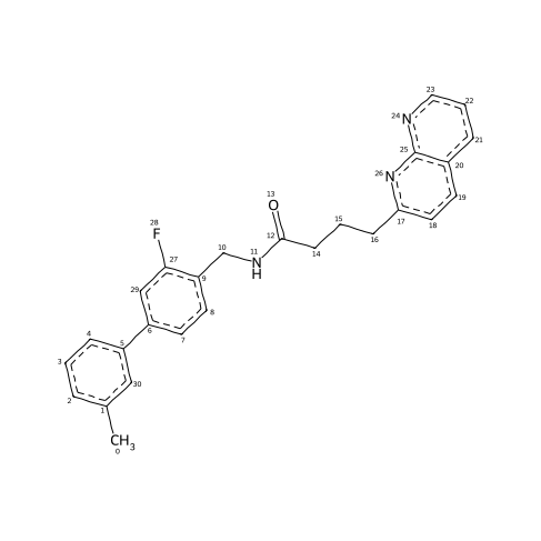 Cc1cccc(-c2ccc(CNC(=O)CCCc3ccc4cccnc4n3)c(F)c2)c1